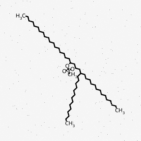 CCCCCCCCCCCCCCCCCCC(CCCC(CCCCCCCCCCCCCC)CCCCCCCCCCCCCC)OS(C)(=O)=O